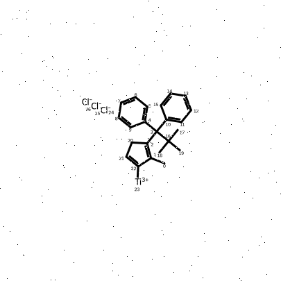 CC1=C(C(c2ccccc2)(c2ccccc2)C(C)(C)C)CC=[C]1[Ti+3].[Cl-].[Cl-].[Cl-]